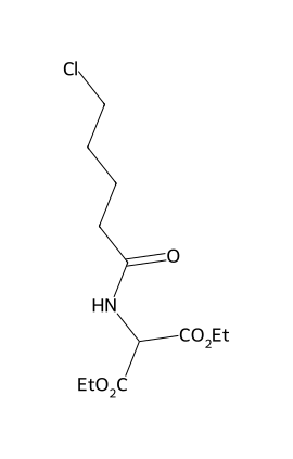 CCOC(=O)C(NC(=O)CCCCCl)C(=O)OCC